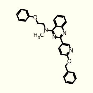 CN(CCOc1ccccc1)c1nc(-c2ccc(OCc3ccccc3)nc2)nc2ccccc12